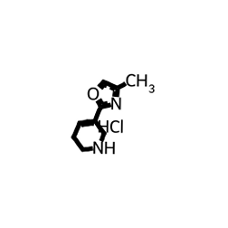 Cc1coc(C2=CCCNC2)n1.Cl